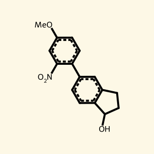 COc1ccc(-c2ccc3c(c2)CCC3O)c([N+](=O)[O-])c1